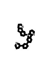 c1cncc(-c2cccc(-c3ccc4c5ncccc5n(-c5ccc6c(c5)-c5ncccc5C6)c4c3)c2)c1